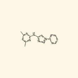 Cc1cc(C)nc(Nc2cn(-c3ccccc3)cn2)n1